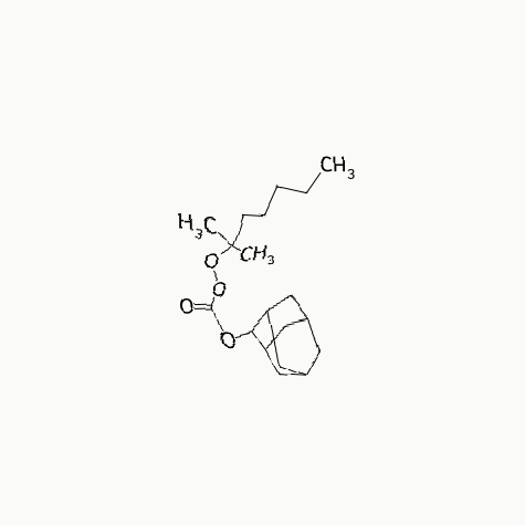 CCCCCC(C)(C)OOC(=O)OC1C2CC3CC(C2)CC1C3